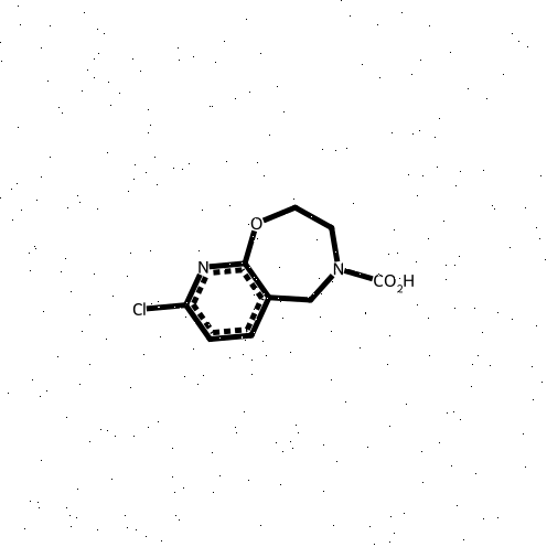 O=C(O)N1CCOc2nc(Cl)ccc2C1